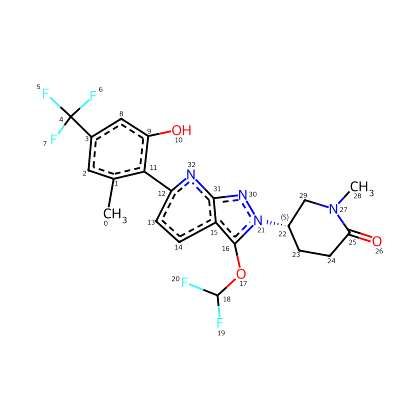 Cc1cc(C(F)(F)F)cc(O)c1-c1ccc2c(OC(F)F)n([C@H]3CCC(=O)N(C)C3)nc2n1